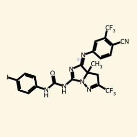 CC12CC(C(F)(F)F)=NN1C(NC(=O)Nc1ccc(I)cc1)=N/C2=N/c1ccc(C#N)c(C(F)(F)F)c1